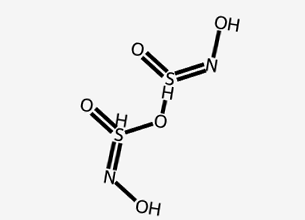 O=[SH](=NO)O[SH](=O)=NO